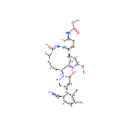 COC(=O)Nc1ccc2c(c1)NC(=O)C(C)CCC[C@H](N1CCC(c3c(C#N)ccc(Cl)c3F)=CC1=O)c1cc-2cc(OC)n1